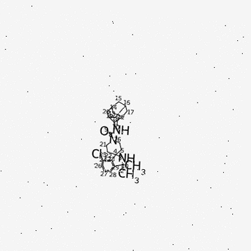 CC1(C)NC2(CCN(C(=O)NC3C4CC5CC(C4)CC3C5)CC2)c2c(Cl)cccc21